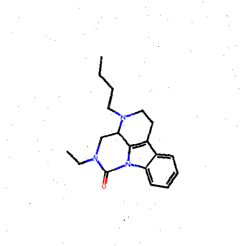 CCCCN1CCc2c3n(c4ccccc24)C(=O)N(CC)CC31